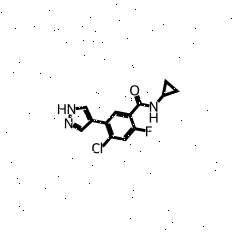 O=C(NC1CC1)c1cc(-c2cn[nH]c2)c(Cl)cc1F